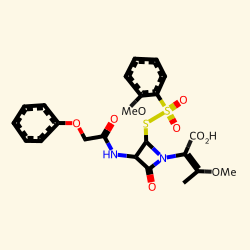 COC(C)=C(C(=O)O)N1C(=O)C(NC(=O)COc2ccccc2)C1SS(=O)(=O)c1ccccc1OC